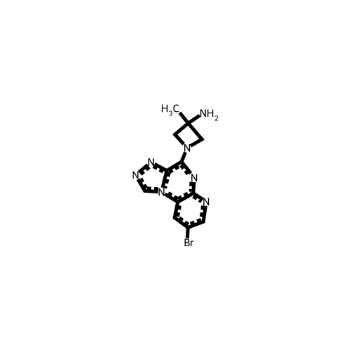 CC1(N)CN(c2nc3ncc(Br)cc3n3cnnc23)C1